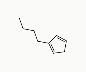 CCCCC1=[C]CC=C1